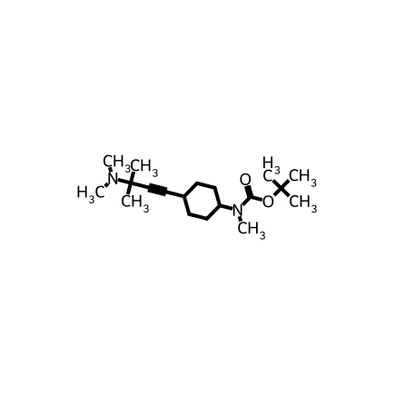 CN(C(=O)OC(C)(C)C)C1CCC(C#CC(C)(C)N(C)C)CC1